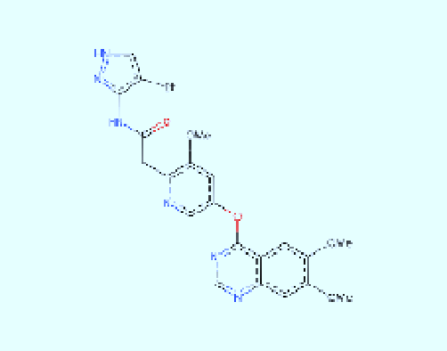 CCc1c[nH]nc1NC(=O)Cc1ncc(Oc2ncnc3cc(OC)c(OC)cc23)cc1OC